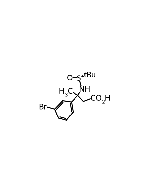 CC(CC(=O)O)(N[S+]([O-])C(C)(C)C)c1cccc(Br)c1